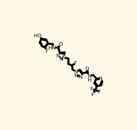 O=C(NCc1cc(O)ccc1F)c1cn(CCC(F)Cn2cc(C(=O)NCc3cc(C(F)(F)F)ccn3)nn2)nn1